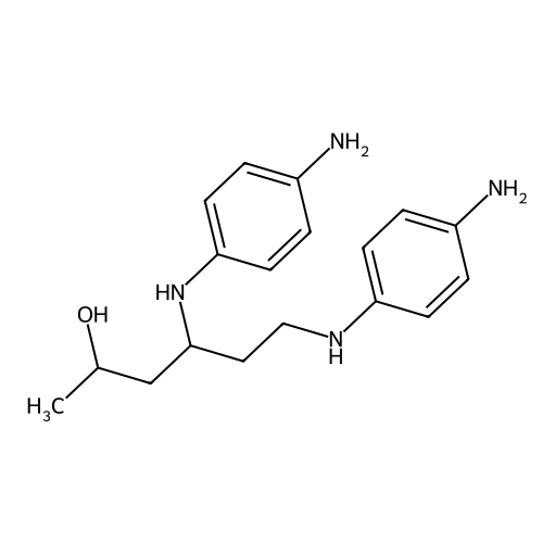 CC(O)CC(CCNc1ccc(N)cc1)Nc1ccc(N)cc1